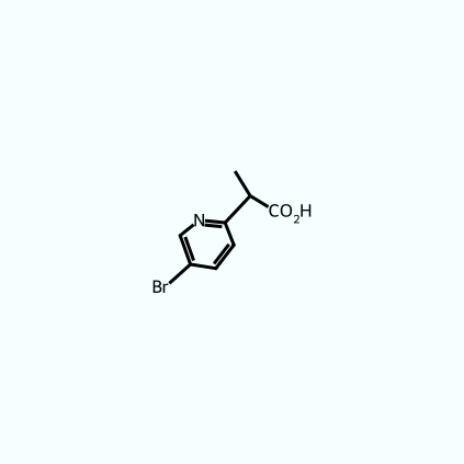 CC(C(=O)O)c1ccc(Br)cn1